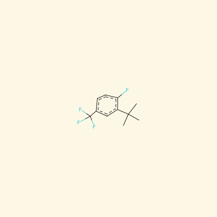 CC(C)(C)c1cc(C(F)(F)F)ccc1F